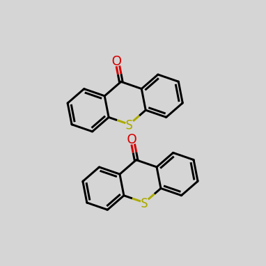 O=c1c2ccccc2sc2ccccc12.O=c1c2ccccc2sc2ccccc12